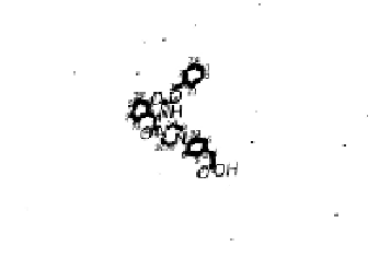 O=C(O)Cc1ccc(N2CCN(C(=O)[C@H](NC(=O)OCc3ccccc3)c3ccccc3)CC2)cc1